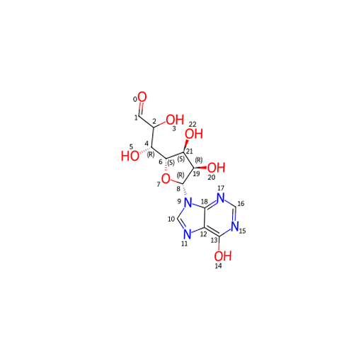 O=CC(O)[C@@H](O)[C@H]1O[C@@H](n2cnc3c(O)ncnc32)[C@H](O)[C@@H]1O